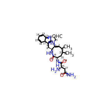 CC1/C=C(/NCC=O)[C@H](CC2=CN=C3C=CC=CC23)NC(=O)[C@@H](NC(=O)[C@@H](N)CC(N)=O)CC1C